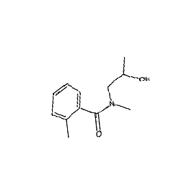 Cc1ccccc1C(=O)N(C)CC(C)O